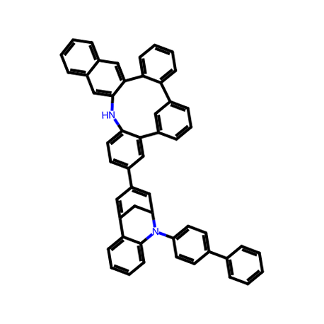 C1=C(c2ccc3c(c2)-c2cccc(c2)-c2ccccc2-c2cc4ccccc4cc2N3)C=C2CC1N(c1ccc(-c3ccccc3)cc1)c1ccccc12